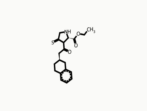 CCOC(=O)[C@H]1NCC(=S)C1C(=O)C[C@@H]1CCc2ccccc2C1